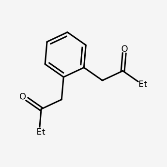 CCC(=O)Cc1ccccc1CC(=O)CC